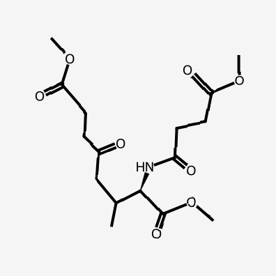 COC(=O)CCC(=O)CC(C)[C@@H](NC(=O)CCC(=O)OC)C(=O)OC